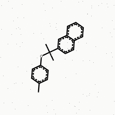 Cc1ccc(OC(C)(C)c2ccc3ccccc3c2)cc1